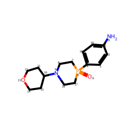 Nc1ccc(P2(=O)CCN(C3CCOCC3)CC2)cc1